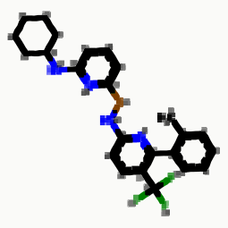 Cc1ccccc1-c1nc(NSc2cccc(NC3CCCCC3)n2)ccc1C(F)(F)F